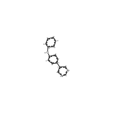 [c]1ncncc1-c1ccc(Oc2ccccc2)cc1